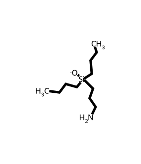 CCCC[Si]([O])(CCCC)CCCN